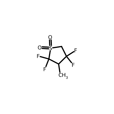 CC1C(F)(F)CS(=O)(=O)C1(F)F